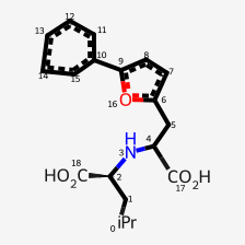 CC(C)C[C@H](NC(Cc1ccc(-c2ccccc2)o1)C(=O)O)C(=O)O